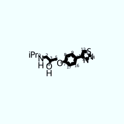 CC(C)NCC(O)COc1ccc(-c2csnn2)cc1